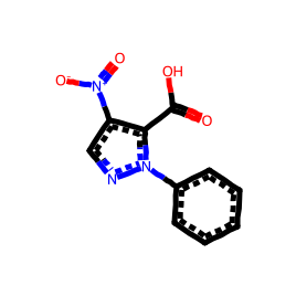 O=C(O)c1c([N+](=O)[O-])cnn1-c1ccccc1